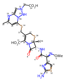 CON=C(C(=O)N[C@@H]1C(=O)N2C(C(=O)O)=C(CSC3=CC(C)=NC4=CN(CC(=O)O)NN43)CS[C@H]12)c1csc(N)n1